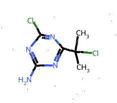 CC(C)(Cl)c1nc(N)nc(Cl)n1